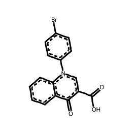 O=C(O)c1cn(-c2ccc(Br)cc2)c2ccccc2c1=O